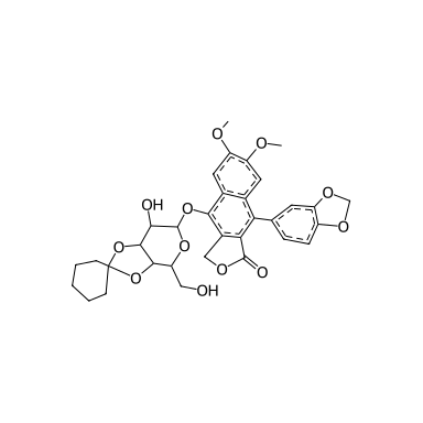 COc1cc2c(OC3OC(CO)C4OC5(CCCCC5)OC4C3O)c3c(c(-c4ccc5c(c4)OCO5)c2cc1OC)C(=O)OC3